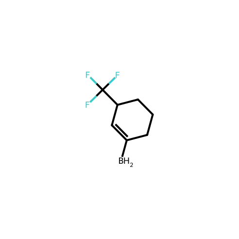 BC1=CC(C(F)(F)F)CCC1